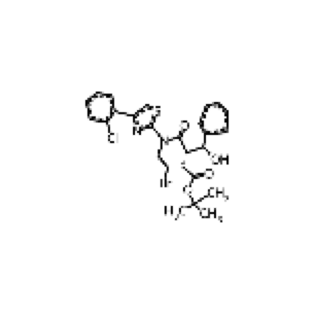 CC(C)(C)OC(=O)C[C@H](C(=O)N(CCBr)c1nc(-c2ccccc2Cl)cs1)[C@H](O)c1ccccc1